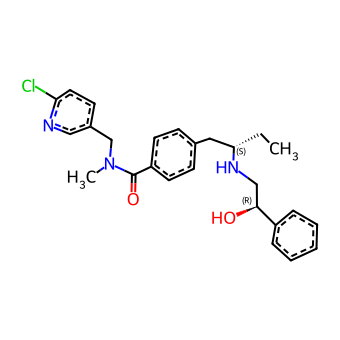 CC[C@@H](Cc1ccc(C(=O)N(C)Cc2ccc(Cl)nc2)cc1)NC[C@H](O)c1ccccc1